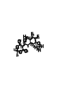 [2H]C([2H])([2H])Oc1cc(CC(O)=C2C(=O)OC(C)(C)OC2=O)c(F)c(F)c1F